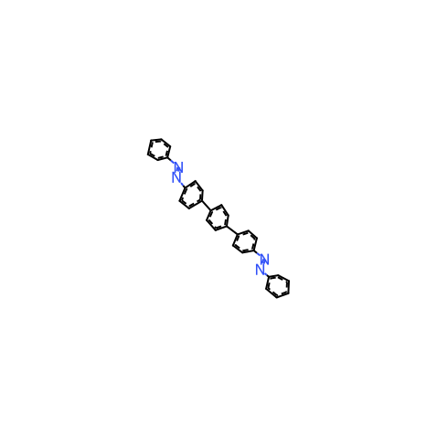 c1ccc(/N=N/c2ccc(-c3ccc(-c4ccc(/N=N/c5ccccc5)cc4)cc3)cc2)cc1